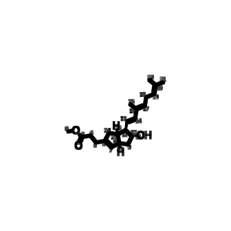 COC(=O)CCC1=C[C@H]2C[C@@H](O)[C@H](/C=C/C(C)=C/CC=C(C)C)[C@H]2C1